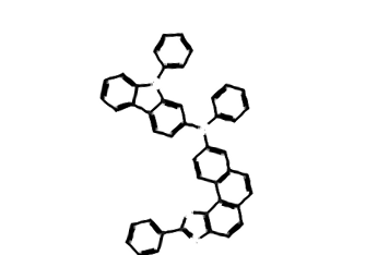 c1ccc(-c2nc3ccc4ccc5cc(N(c6ccccc6)c6ccc7c8ccccc8n(-c8ccccc8)c7c6)ccc5c4c3o2)cc1